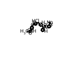 CCS(=O)(=O)Nc1ccc(Oc2ccc(CN3CCC(N(C(=O)Nc4ccc(F)c(C(N)=O)c4)c4ccccc4)CC3)cn2)cc1.Cl